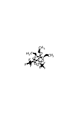 CCO[Si](OCC)(OCC)N(S(=O)(=O)C(F)(F)F)S(=O)(=O)C(F)(F)F